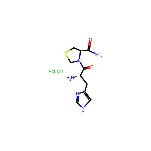 Cl.Cl.NC(=O)[C@@H]1CSCN1C(=O)[C@@H](N)Cc1c[nH]cn1